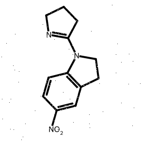 O=[N+]([O-])c1ccc2c(c1)CCN2C1=NCCC1